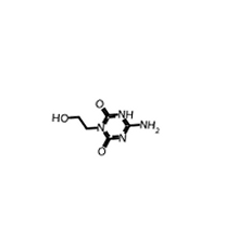 Nc1nc(=O)n(CCO)c(=O)[nH]1